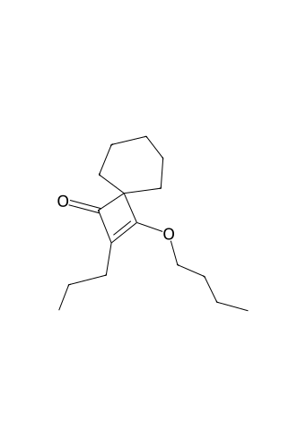 CCCCOC1=C(CCC)C(=O)C12CCCCC2